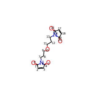 O=C1C=CC(=O)N1CCCOCCCN1C(=O)C=CC1=O